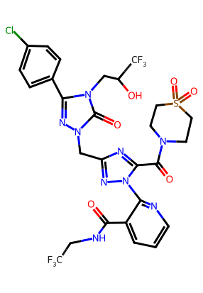 O=C(NCC(F)(F)F)c1cccnc1-n1nc(Cn2nc(-c3ccc(Cl)cc3)n(CC(O)C(F)(F)F)c2=O)nc1C(=O)N1CCS(=O)(=O)CC1